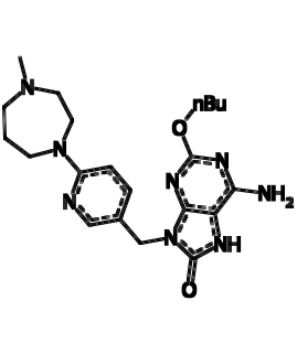 CCCCOc1nc(N)c2[nH]c(=O)n(Cc3ccc(N4CCCN(C)CC4)nc3)c2n1